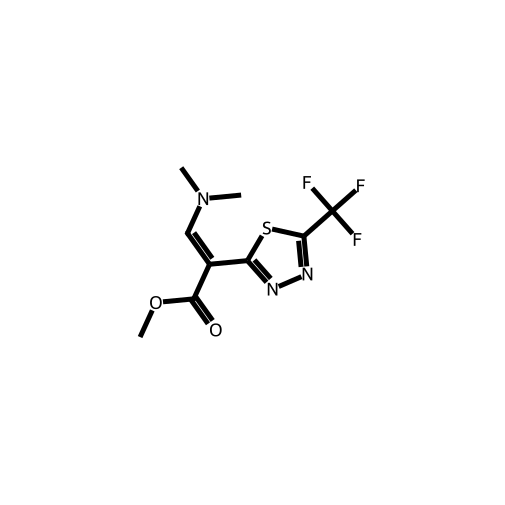 COC(=O)/C(=C/N(C)C)c1nnc(C(F)(F)F)s1